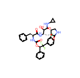 O=C(N[C@@H](Cc1ccccc1)C(=O)N[C@@H](C[C@@H]1CCNC1=O)C(O)C(=O)NC1CC1)OC(c1ccccc1)C(F)(F)c1cccc(Cl)c1